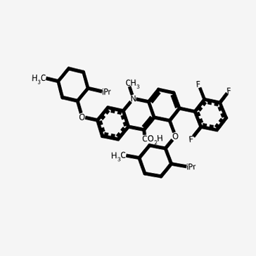 CC1CCC(C(C)C)C(Oc2ccc3c(c2)N(C)C2=CC=C(c4c(F)ccc(F)c4F)C(OC4CC(C)CCC4C(C)C)C2=C3C(=O)O)C1